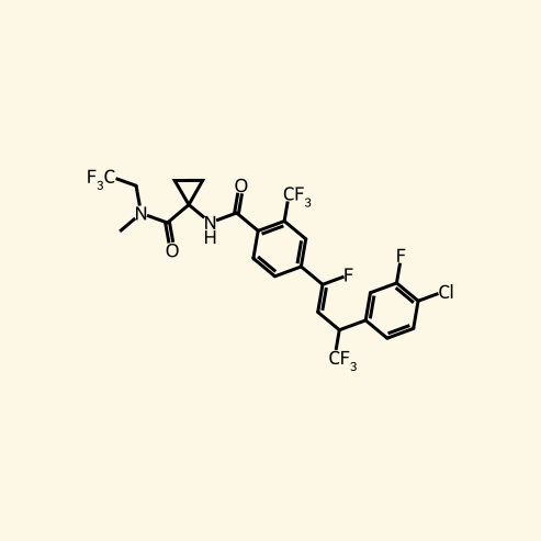 CN(CC(F)(F)F)C(=O)C1(NC(=O)c2ccc(/C(F)=C/C(c3ccc(Cl)c(F)c3)C(F)(F)F)cc2C(F)(F)F)CC1